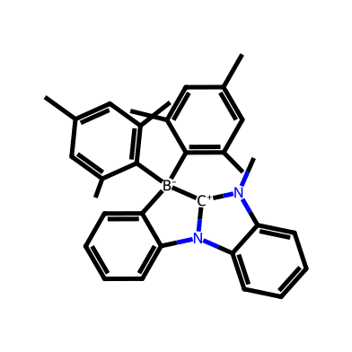 Cc1cc(C)c([B-]2(c3c(C)cc(C)cc3C)c3ccccc3-n3c4ccccc4n(C)[c+]32)c(C)c1